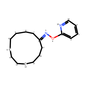 c1ccc(ON=C2CCCCCCCCCCC2)nc1